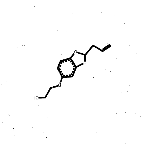 C=CCC1Oc2ccc(OCCO)cc2O1